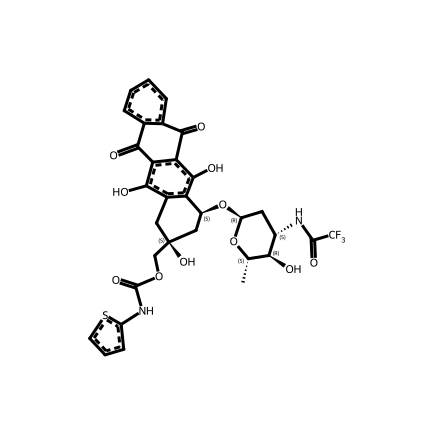 C[C@@H]1O[C@@H](O[C@H]2C[C@](O)(COC(=O)Nc3cccs3)Cc3c(O)c4c(c(O)c32)C(=O)c2ccccc2C4=O)C[C@H](NC(=O)C(F)(F)F)[C@H]1O